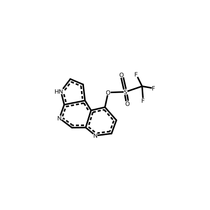 O=S(=O)(Oc1ccnc2cnc3[nH]ccc3c12)C(F)(F)F